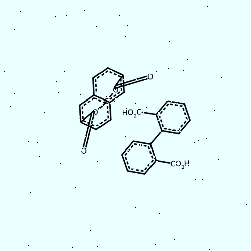 O=C(O)c1ccccc1-c1ccccc1C(=O)O.O=C1OCCOC(=O)c2ccc3cc1ccc3c2